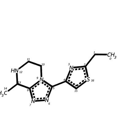 CCc1nc(-c2nnc3n2CCNC3C)cs1